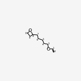 C=COCCCCCC1CCO1